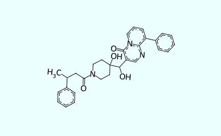 CC(CC(=O)N1CCC(O)(C(O)c2cnc3c(-c4ccccc4)cccn3c2=O)CC1)c1ccccc1